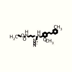 C=CCOC(=O)NCCCC[C@@H](CN=[N+]=[N-])NCc1ccc(CCc2cccc(C)c2)cc1OC